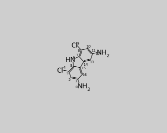 Nc1cc(Cl)c2[nH]c3c(Cl)cc(N)cc3c2c1